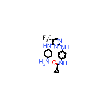 N[C@H]1CC[C@H](Nc2nc(Nc3ccc(NC(=O)C4CC4)cc3)ncc2C(F)(F)F)CC1